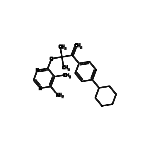 C=C(c1ccc(C2CCCCC2)cc1)C(C)(C)Oc1ncnc(N)c1C